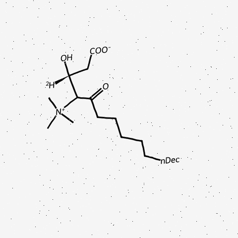 [2H][C@@](O)(CC(=O)[O-])C(C(=O)CCCCCCCCCCCCCCC)[N+](C)(C)C